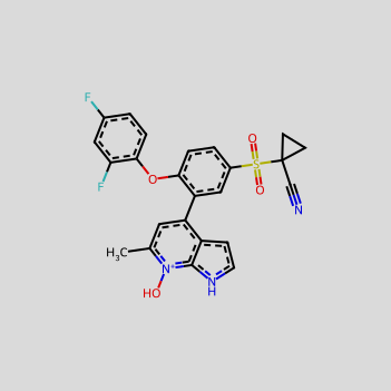 Cc1cc(-c2cc(S(=O)(=O)C3(C#N)CC3)ccc2Oc2ccc(F)cc2F)c2cc[nH]c2[n+]1O